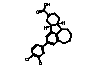 O=C(O)N1CC[C@H]2[C@@H](C1)c1cc(-c3ccc(Cl)c(Cl)c3)cc3c1N2CCCC3